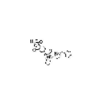 CS(=O)(=O)c1ccc([C@@H](CC2CCCC2)C(=O)NC2=NN(Cc3ccccc3)CC2)cc1Cl